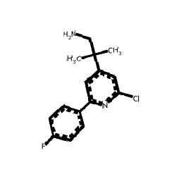 CC(C)(CN)c1cc(Cl)nc(-c2ccc(F)cc2)c1